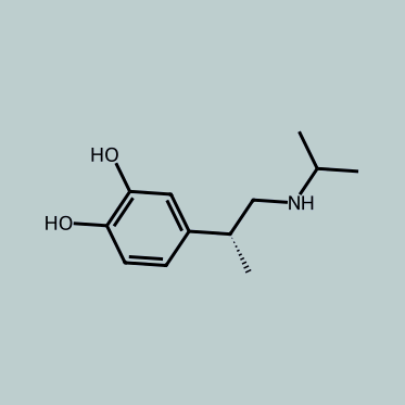 CC(C)NC[C@H](C)c1ccc(O)c(O)c1